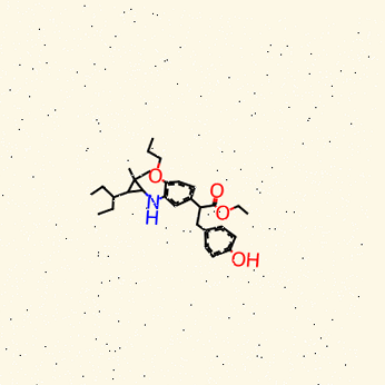 CCCOc1ccc(C(Cc2ccc(O)cc2)C(=O)OCC)cc1NC1C(C(CC)CC)C1(C)C